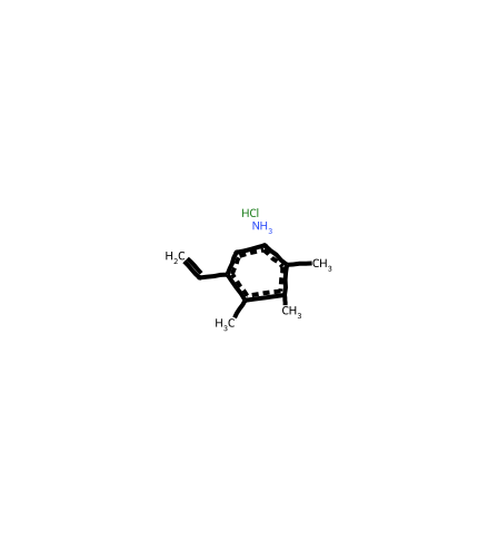 C=Cc1ccc(C)c(C)c1C.Cl.N